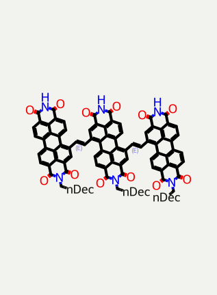 CCCCCCCCCCCN1C(=O)c2ccc3c4ccc5c6c(cc(/C=C/c7cc8c9c(ccc%10c%11c(/C=C/c%12cc%13c%14c(ccc%15c%16ccc%17c%18c(ccc(c%12c%14%15)c%18%16)C(=O)NC%17=O)C(=O)N(CCCCCCCCCCC)C%13=O)cc%12c%13c(ccc(c7c9%10)c%13%11)C(=O)NC%12=O)C(=O)N(CCCCCCCCCCC)C8=O)c(c7ccc(c2c37)C1=O)c64)C(=O)NC5=O